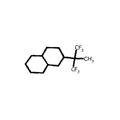 CC(C1CCC2CCCCC2C1)(C(F)(F)F)C(F)(F)F